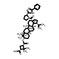 C=C(C)[C@@H]1CC[C@]2(C(=O)N3CCC[C@H]3c3nnc(-c4ccccc4)[nH]3)CC[C@]3(C)[C@H](CC[C@@H]4[C@@]5(C)CC[C@H](OC(=O)[C@H]6C[C@@H](C(=O)O)C6(C)C)C(C)(C)[C@@H]5CC[C@]43C)[C@@H]12